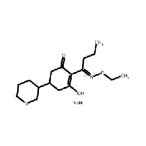 CCC/C(=N\OCC)C1=C(O)CC(C2CCCSC2)CC1=O.[NaH]